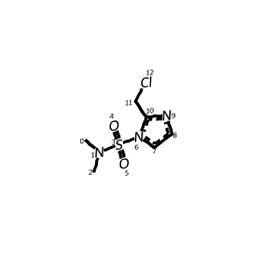 CN(C)S(=O)(=O)n1ccnc1CCl